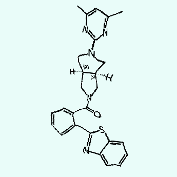 Cc1cc(C)nc(N2C[C@H]3CN(C(=O)c4ccccc4-c4nc5ccccc5s4)C[C@H]3C2)n1